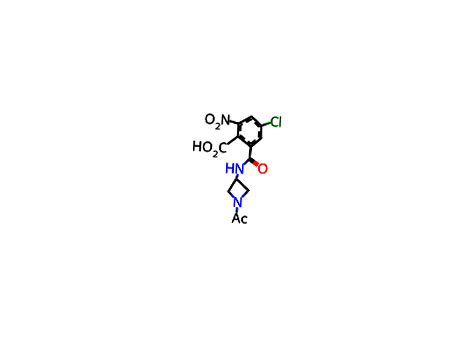 CC(=O)N1CC(NC(=O)c2cc(Cl)cc([N+](=O)[O-])c2C(=O)O)C1